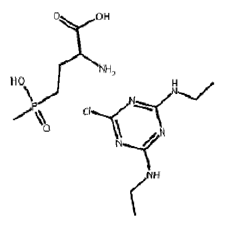 CCNc1nc(Cl)nc(NCC)n1.CP(=O)(O)CCC(N)C(=O)O